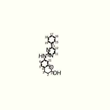 OC1CCc2ccc(Nc3nccc(-c4ccccc4)n3)cc2O1